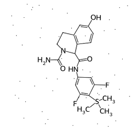 CS(C)(C)c1c(F)cc(NC(=O)C2c3ccc(O)cc3CCN2C(N)=O)cc1F